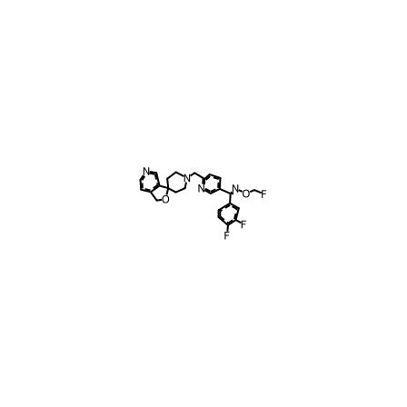 FCO/N=C(/c1ccc(CN2CCC3(CC2)OCc2ccncc23)nc1)c1ccc(F)c(F)c1